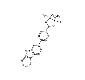 CC1(C)OB(c2ccc(-c3cnc4c(c3)oc3ccccc34)nc2)OC1(C)C